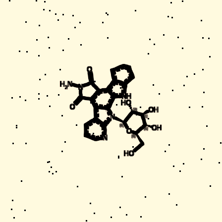 NN1C(=O)c2c(c3c4cccnc4n([C@@H]4O[C@H](CO)[C@@H](O)[C@H](O)[C@H]4O)c3c3[nH]c4ccccc4c23)C1=O